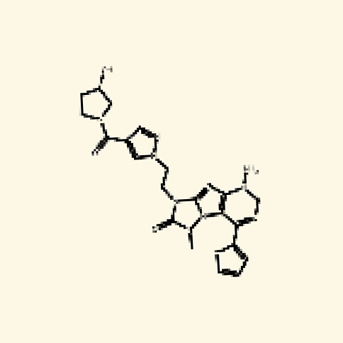 Cn1c(=O)n(CCn2cc(C(=O)N3CC[C@@H](O)C3)cn2)c2nc3c(n21)C(c1ccco1)=NCN3N